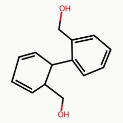 OCc1ccccc1C1C=CC=CC1CO